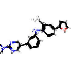 CN(C)c1ncc(-c2cccc(Nc3ccc(-c4ccco4)cc3[N+](=O)[O-])c2)cn1